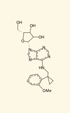 COc1ccccc1C1(CNc2ncnc3c2ncn3[C@@H]2O[C@H](CO)C(O)C2O)CC1